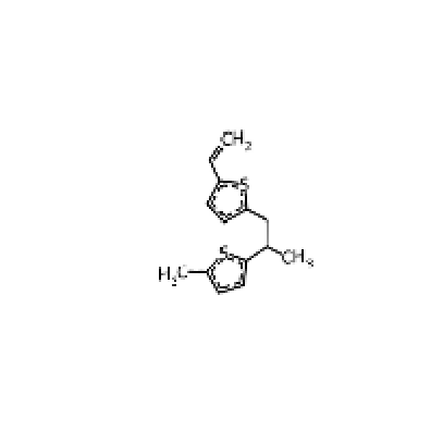 C=Cc1ccc(CC(C)c2ccc(C)s2)s1